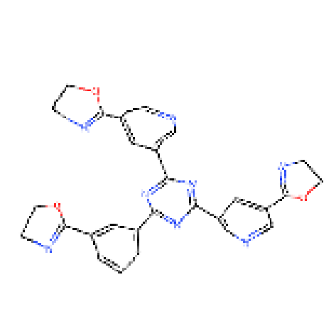 c1cc(C2=NCCO2)cc(-c2nc(-c3cncc(C4=NCCO4)c3)nc(-c3cncc(C4=NCCO4)c3)n2)c1